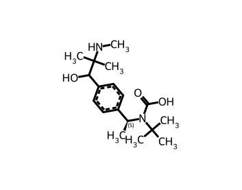 CNC(C)(C)C(O)c1ccc([C@H](C)N(C(=O)O)C(C)(C)C)cc1